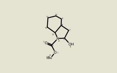 CC(C)(C)OC(=O)N1C(O)CC2CCCCC21